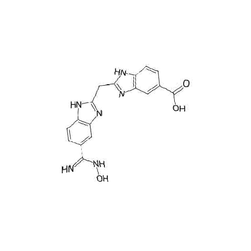 N=C(NO)c1ccc2[nH]c(Cc3nc4cc(C(=O)O)ccc4[nH]3)nc2c1